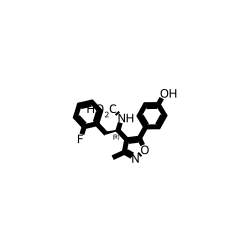 Cc1noc(-c2ccc(O)cc2)c1[C@@H](Cc1ccccc1F)NC(=O)O